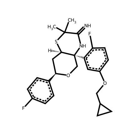 CC1(C)S[C@@H]2C[C@H](c3ccc(F)cc3)OC[C@]2(c2cc(OCC3CC3)ccc2F)NC1=N